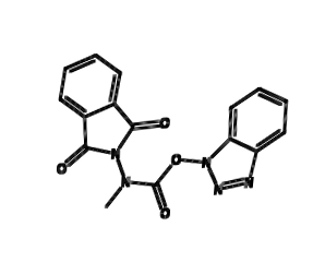 CN(C(=O)On1nnc2ccccc21)N1C(=O)c2ccccc2C1=O